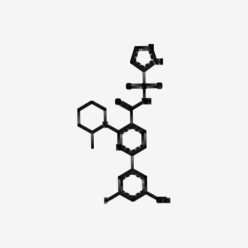 CC(C)COc1cc(F)cc(-c2ccc(C(=O)NS(=O)(=O)c3ccn[nH]3)c(N3CCCCC3C)n2)c1